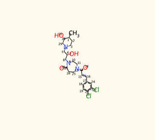 CC1CCN(CC(O)CN2CCN(C(=O)/C=C/c3ccc(Cl)c(Cl)c3)CCC2=O)CC1O